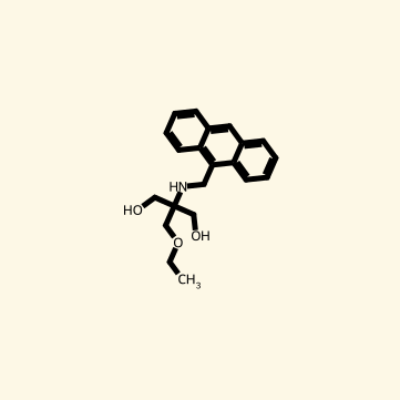 CCOCC(CO)(CO)NCc1c2ccccc2cc2ccccc12